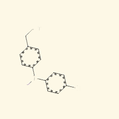 Cc1cc[c]([In]([I])[c]2ccc(CC(C)C)cc2)cc1